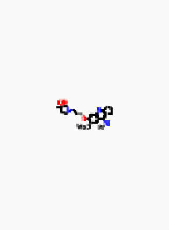 COc1cc2c(NC(C)C)c3c(nc2cc1OCCCN1CCC(C)(O)C1)CCC3